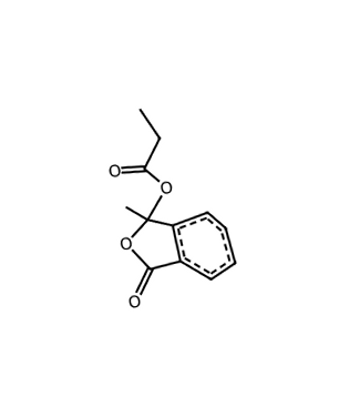 CCC(=O)OC1(C)OC(=O)c2ccccc21